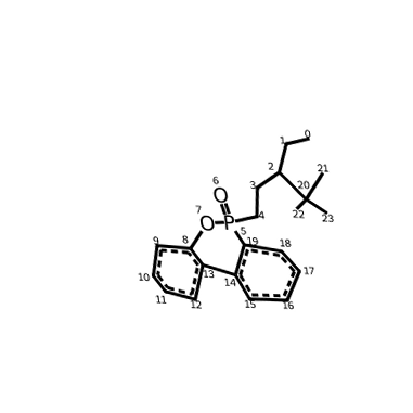 CCC(CCP1(=O)Oc2ccccc2-c2ccccc21)C(C)(C)C